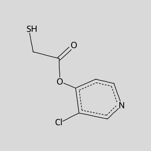 O=C(CS)Oc1ccncc1Cl